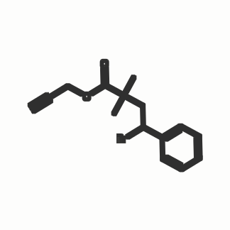 C#CCOC(=O)C(C)(C)CC(Br)c1ccccc1